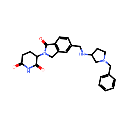 O=C1CCC(N2Cc3cc(CNC4CCN(Cc5ccccc5)C4)ccc3C2=O)C(=O)N1